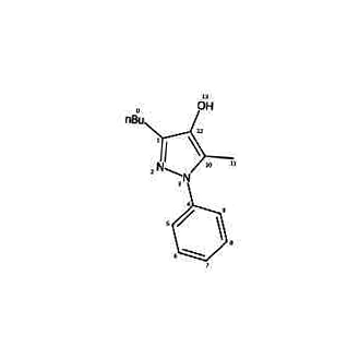 CCCCc1nn(-c2ccccc2)c(C)c1O